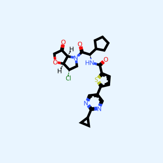 O=C(N[C@H](C(=O)N1C[C@H](Cl)[C@H]2OCC(=O)[C@H]21)C1CCCC1)c1ccc(-c2cnc(C3CC3)nc2)s1